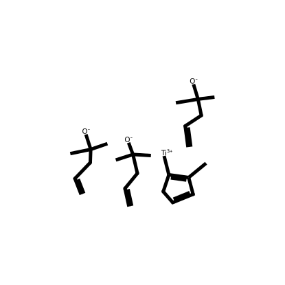 C=CCC(C)(C)[O-].C=CCC(C)(C)[O-].C=CCC(C)(C)[O-].CC1=[C]([Ti+3])CC=C1